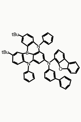 CC(C)(C)c1ccc2c(c1)B1c3cc(C(C)(C)C)ccc3N(c3ccccc3)c3cc(N(c4cccc(-c5ccccc5)c4)c4cccc5c4oc4ccccc45)cc(c31)N2c1ccccc1